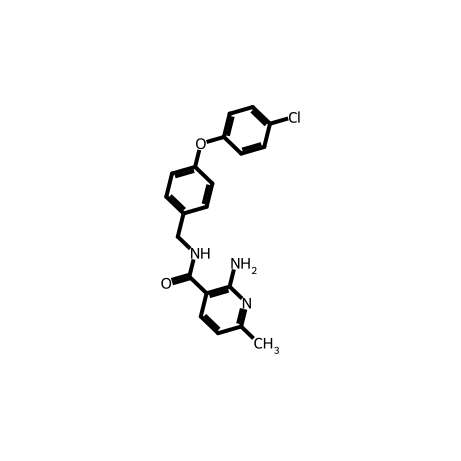 Cc1ccc(C(=O)NCc2ccc(Oc3ccc(Cl)cc3)cc2)c(N)n1